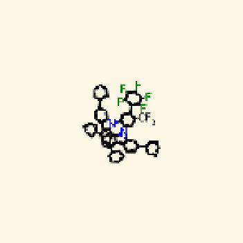 Fc1c(F)c(F)c(-c2cc(-n3c4cc(-c5ccccc5)ccc4c4ccc(-c5ccccc5)cc43)c(-n3c4cc(-c5ccccc5)ccc4c4ccc(-c5ccccc5)cc43)cc2C(F)(F)F)c(F)c1F